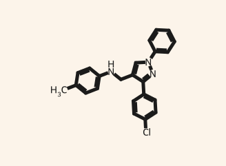 Cc1ccc(NCc2cn(-c3ccccc3)nc2-c2ccc(Cl)cc2)cc1